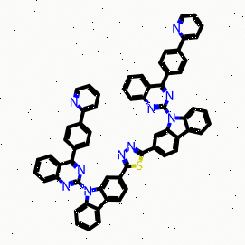 c1ccc(-c2ccc(-c3nc(-n4c5ccccc5c5ccc(-c6nnc(-c7ccc8c9ccccc9n(-c9nc(-c%10ccc(-c%11ccccn%11)cc%10)c%10ccccc%10n9)c8c7)s6)cc54)nc4ccccc34)cc2)nc1